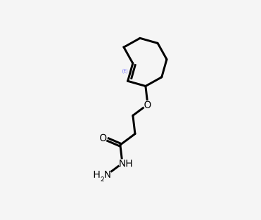 NNC(=O)CCOC1/C=C/CCCCC1